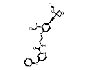 CN(C=O)c1cc(C#CC2(OC=O)COC2)ccc1OCCNC(=O)c1cc(Oc2ccccc2)ccn1